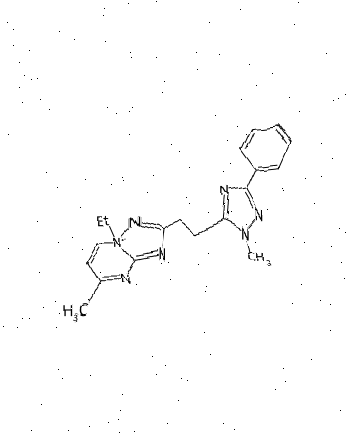 CC[N+]12C=CC(C)=NC1=NC(CCc1nc(-c3ccccc3)nn1C)=N2